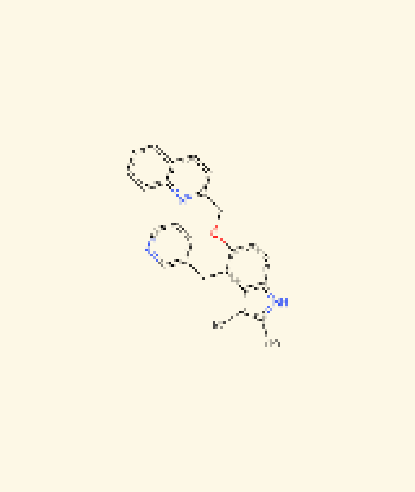 CCCc1[nH]c2ccc(OCc3ccc4ccccc4n3)c(Cc3cccnc3)c2c1CC